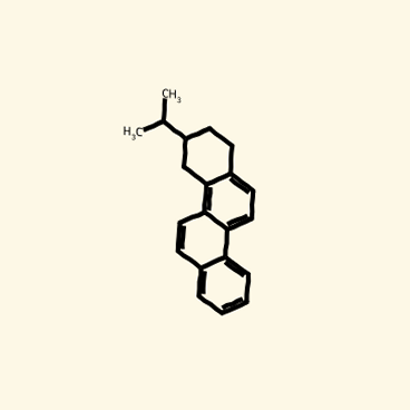 CC(C)C1CCc2ccc3c(ccc4ccccc43)c2C1